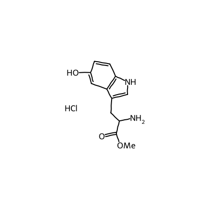 COC(=O)C(N)Cc1c[nH]c2ccc(O)cc12.Cl